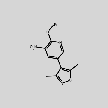 Cc1noc(C)c1-c1cnc(OC(C)C)c([N+](=O)[O-])c1